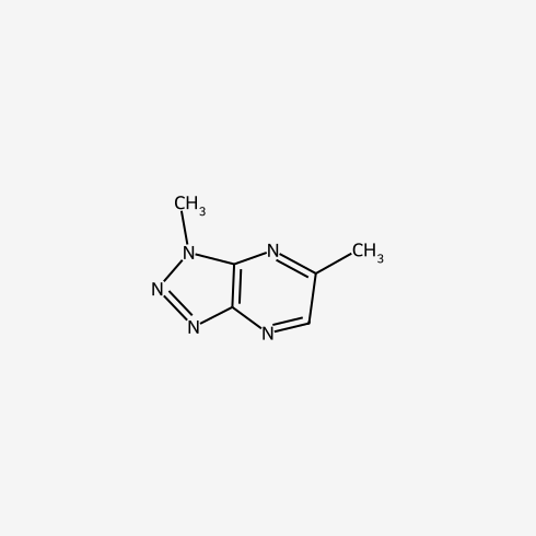 Cc1cnc2nnn(C)c2n1